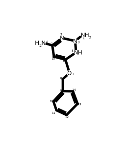 NC1=NN(N)NC(OCc2ccccc2)=C1